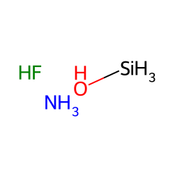 F.N.O[SiH3]